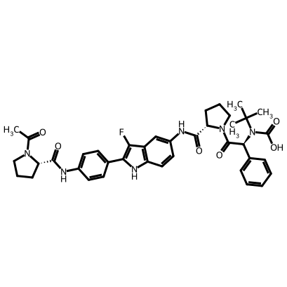 CC(=O)N1CCC[C@H]1C(=O)Nc1ccc(-c2[nH]c3ccc(NC(=O)[C@@H]4CCCN4C(=O)[C@H](c4ccccc4)N(C(=O)O)C(C)(C)C)cc3c2F)cc1